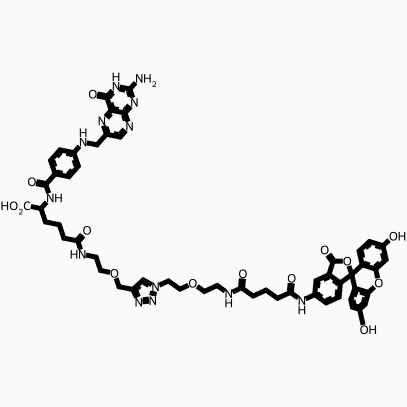 Nc1nc2ncc(CNc3ccc(C(=O)NC(CCCC(=O)NCCOCc4cn(CCOCCNC(=O)CCCC(=O)Nc5ccc6c(c5)C(=O)OC65c6ccc(O)cc6Oc6cc(O)ccc65)nn4)C(=O)O)cc3)nc2c(=O)[nH]1